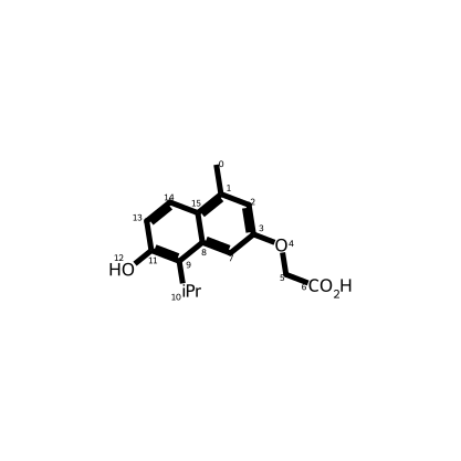 Cc1cc(OCC(=O)O)cc2c(C(C)C)c(O)ccc12